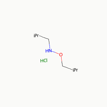 CC(C)CNOCC(C)C.Cl